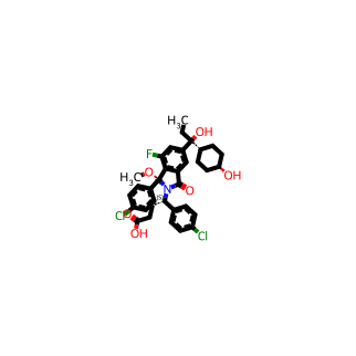 CCC(O)(c1cc(F)c2c(c1)C(=O)N([C@@H](CCC(=O)O)c1ccc(Cl)cc1)[C@@]2(OC)c1ccc(Cl)cc1)[C@H]1CC[C@H](O)CC1